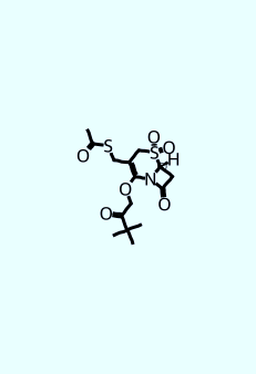 CC(=O)SCC1=C(OCC(=O)C(C)(C)C)N2C(=O)C[C@H]2S(=O)(=O)C1